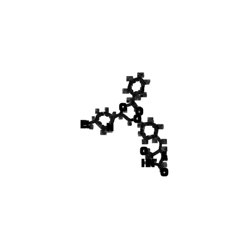 CCc1ccc(C(COc2ccc(CC3SC(=O)NC3=O)cc2)OC(=O)c2ccccc2)nc1